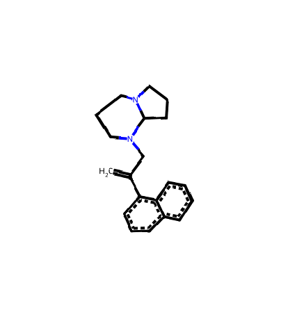 C=C(CN1CCCN2CCCC21)c1cccc2ccccc12